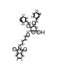 O=C1c2ccccc2C(=O)N1CCCCCOC[C@H]1O[C@@H](O)C[C@@H](OCc2ccccc2)[C@@H]1OCc1ccccc1